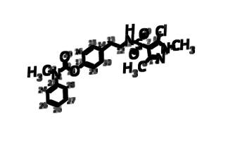 Cc1nn(C)c(Cl)c1S(=O)(=O)NCCc1ccc(OC(=O)N(C)c2ccccc2)cc1